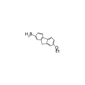 Bc1ccc2c(c1)Cc1cc(OCC)ccc1-2